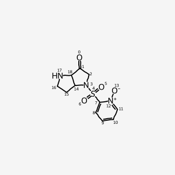 O=C1CN(S(=O)(=O)c2cccc[n+]2[O-])C2CCNC12